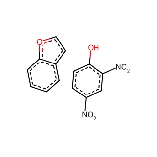 O=[N+]([O-])c1ccc(O)c([N+](=O)[O-])c1.c1ccc2occc2c1